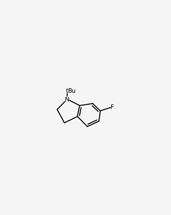 CC(C)(C)N1CCc2ccc(F)cc21